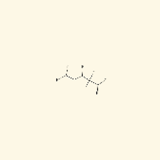 F[C](F)C(F)(F)C(F)CC(F)F